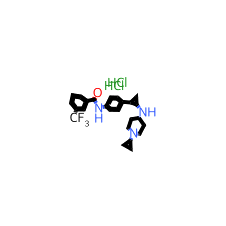 Cl.Cl.O=C(Nc1ccc(C2CC2NC2CCN(C3CC3)CC2)cc1)c1cccc(C(F)(F)F)c1